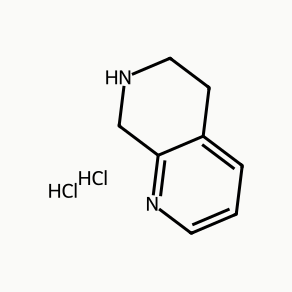 Cl.Cl.c1cnc2c(c1)CCNC2